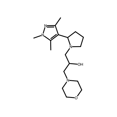 Cc1nn(C)c(C)c1C1CCCN1CC(O)CN1CCOCC1